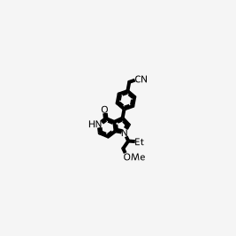 CCC(COC)n1cc(-c2ccc(CC#N)cc2)c2c(=O)[nH]ccc21